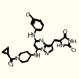 O=C1NC(=O)/C(=C/c2cnn3c(NC4CCN(C(=O)C5CC5)CC4)cc(Nc4cccc(Cl)c4)nc23)N1